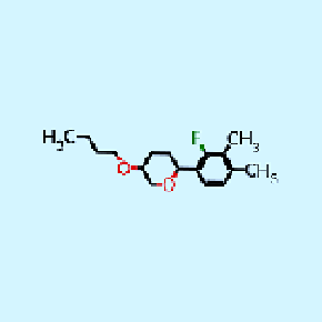 CCCCOC1CCC(c2ccc(C)c(C)c2F)OC1